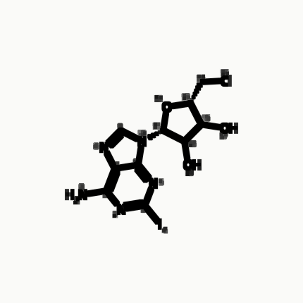 Nc1nc(I)nc2c1ncn2[C@@H]1O[C@H](CCl)C(O)C1O